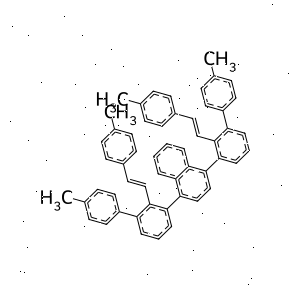 Cc1ccc(C=Cc2c(-c3ccc(C)cc3)cccc2-c2ccc(-c3cccc(-c4ccc(C)cc4)c3C=Cc3ccc(C)cc3)c3ccccc23)cc1